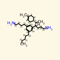 C=C(C)[C@@H]1CCC(C)=C[C@H]1c1c(CCCCN)cc(CCCCC)cc1CCCCN